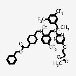 CCN(CC1CCC(CC(=O)OCc2ccccc2)CC1)c1ccc(C(F)(F)F)cc1CN(c1ncc(OCCS(C)(=O)=O)cn1)[C@@H](C)c1cc(C(F)(F)F)cc(C(F)(F)F)c1